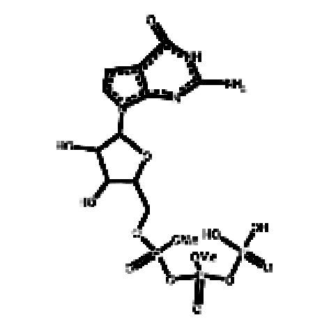 COP(=O)(OCC1OC(n2ccc3c(=O)[nH]c(N)nc32)C(O)C1O)OP(=O)(OC)OP(=O)(O)O